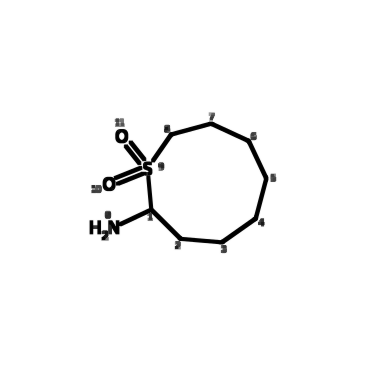 NC1CCCCCCCS1(=O)=O